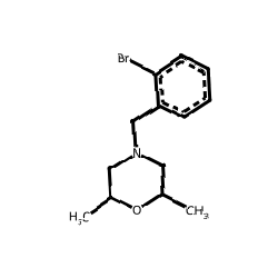 CC1CN(Cc2ccccc2Br)CC(C)O1